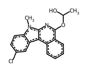 CC(O)Oc1nc2c(c3ccccc13)c1cc(Cl)ccc1n2C